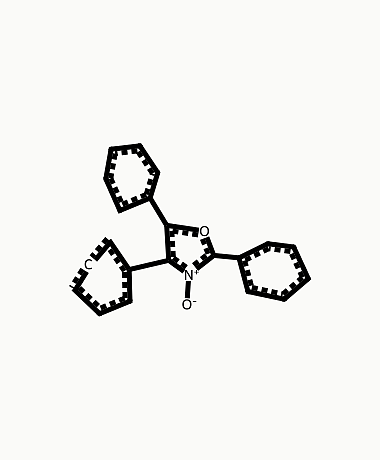 [O-][n+]1c(-c2ccccc2)oc(-c2ccccc2)c1-c1ccccc1